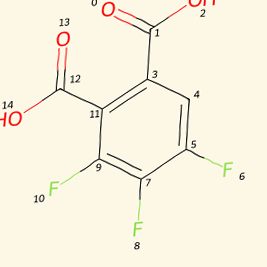 O=C(O)c1cc(F)c(F)c(F)c1C(=O)O